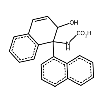 O=C(O)NC1(c2cccc3ccccc23)c2ccccc2C=CC1O